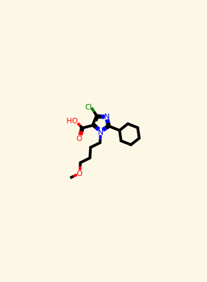 COCCCCn1c(C2CCCCC2)nc(Cl)c1C(=O)O